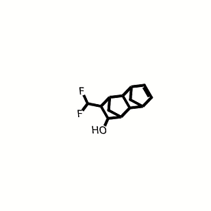 OC1C2CC(C1C(F)F)C1C3C=CC(C3)C21